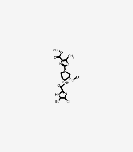 CCCCOC(=O)c1nc(N2CC[C@@H](NC(=O)c3nc(Cl)c(CC)[nH]3)[C@@H](OCC)C2)oc1C